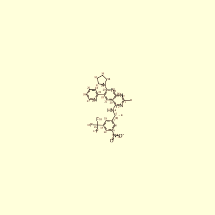 Cc1nc(N[C@H](C)c2cc([N+](=O)[O-])cc(C(F)(F)F)c2)c2cc(-c3ccccn3)c(N3CCCC3)nc2n1